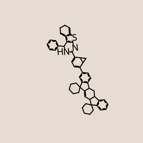 C1=C(C2=Nc3sc4c(c3C(c3ccccc3)N2)=CCCC=4)C2CC2C(c2ccc3c(c2)C2(CCCCC2)C2=CC4C(CC23)c2ccccc2C42CCCCC2)=C1